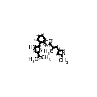 C/C(=C\c1cnn(C)c1)C(=O)Nc1ccccc1-c1nc(C(C)C)n[nH]1